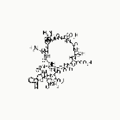 CCCCCCCCCC(=O)NC(Cc1c[nH]c2ccccc12)C(=O)NC(CC(N)=O)C(=O)NC(CC(=O)O)C(=O)NC1C(=O)NCC(=O)NC(CCCN)C(=O)NC(CC(=O)O)C(=O)NC(CC(N)=O)C(=O)NC(CC(=O)O)C(=O)NCC(=O)NC(CO)C(=O)NC(C(C)CC(=O)O)C(=O)NC(C(C)C)C(=O)OC1C